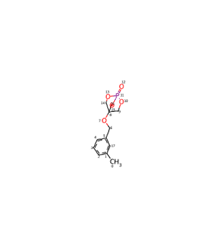 Cc1cccc(COC23COP(=O)(OC2)OC3)c1